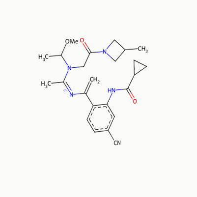 C=C(/N=C(/C)N(CC(=O)N1CC(C)C1)C(C)OC)c1ccc(C#N)cc1NC(=O)C1CC1